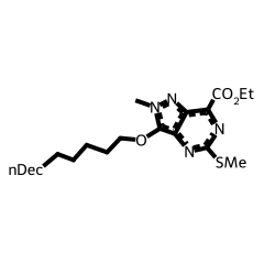 CCCCCCCCCCCCCCCOc1c2nc(SC)nc(C(=O)OCC)c2nn1C